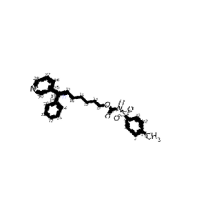 Cc1ccc(S(=O)(=O)NC(=O)OCCCCC/C=C(\c2ccccc2)c2cccnc2)cc1